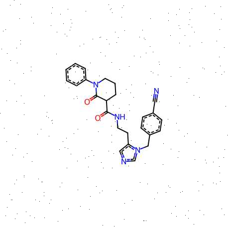 N#Cc1ccc(Cn2cncc2CCNC(=O)C2CCCN(c3ccccc3)C2=O)cc1